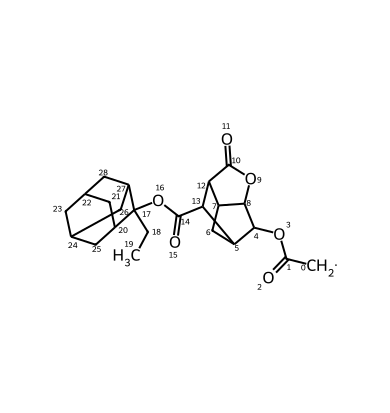 [CH2]C(=O)OC1C2CC3C1OC(=O)C3C2C(=O)OC1(CC)C2CC3CC(C2)CC1C3